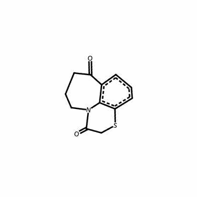 O=C1CCCN2C(=O)CSc3cccc1c32